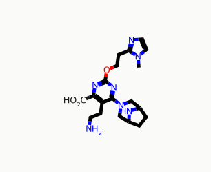 Cn1ccnc1CCOc1nc(C(=O)O)c(CCN)c(N2CC3CCC(C2)N3)n1